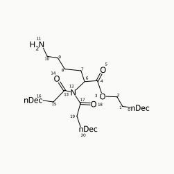 CCCCCCCCCCCCOC(=O)C(CCCCN)N(C(=O)CCCCCCCCCCC)C(=O)CCCCCCCCCCC